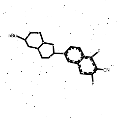 CCCCC1CCC2CC(c3ccc4c(F)c(C#N)c(F)cc4c3)CCC2C1